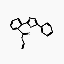 C=COC(=O)c1ccccc1-c1ncc(-c2ccccc2)o1